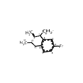 [CH2]C(C=C)c1cc(F)ccc1CCC